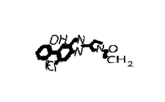 C=CC(=O)N1CCC(c2ncc3cc(-c4c(O)cccc4F)c(Cl)cc3n2)C1